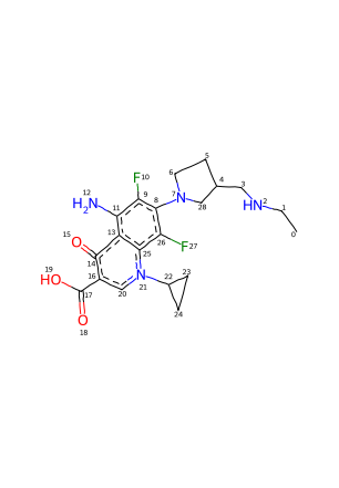 CCNCC1CCN(c2c(F)c(N)c3c(=O)c(C(=O)O)cn(C4CC4)c3c2F)C1